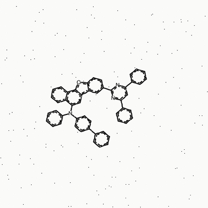 c1ccc(-c2ccc(N(c3ccccc3)c3cc4c5cc(-c6nc(-c7ccccc7)cc(-c7ccccc7)n6)ccc5oc4c4ccccc34)cc2)cc1